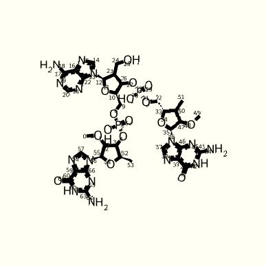 COC1C(OP(=O)(O)OC[C@H]2O[C@@H](n3cnc4c(N)ncnc43)C(CO)C2OP(=O)(O)OC[C@H]2O[C@@H](n3cnc4c(=O)[nH]c(N)nc43)C(OC)C2C)[C@@H](C)O[C@H]1n1cnc2c(=O)[nH]c(N)nc21